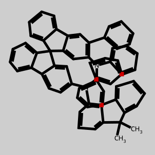 CC1(C)c2ccccc2-c2c(N(c3ccccc3)c3ccc4c(c3)C3(c5ccccc5-4)c4ccccc4-c4cc(-c5ccccc5)c(N(c5ccccc5)c5ccccc5)cc43)cccc21